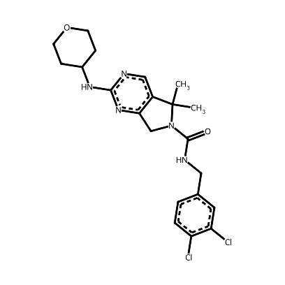 CC1(C)c2cnc(NC3CCOCC3)nc2CN1C(=O)NCc1ccc(Cl)c(Cl)c1